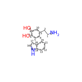 NCCc1ccc(O)c(O)c1.c1ccc2[nH]ccc2c1